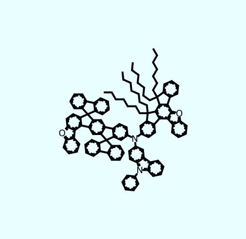 CCCCCCCC1(CCCCCCC)c2ccccc2-c2c1c1c(c3c2oc2ccccc23)-c2ccc(N(c3ccc4c(c3)C3(c5ccccc5-c5ccccc53)c3cc5c(cc3-4)C3(c4ccccc4-c4ccccc43)c3ccc4oc6ccccc6c4c3-5)c3ccc4c(c3)c3ccccc3n4-c3ccccc3)cc2C1(CCCCCCC)CCCCCCC